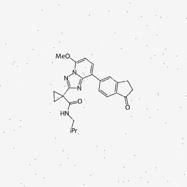 COc1ccc(-c2ccc3c(c2)CCC3=O)c2nc(C3(C(=O)NCC(C)C)CC3)nn12